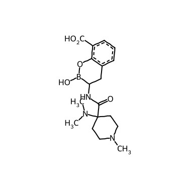 CN1CCC(C(=O)NC2Cc3cccc(C(=O)O)c3OB2O)(N(C)C)CC1